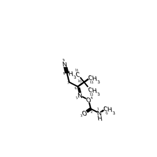 CNC(=O)ON=C(CC#N)C(C)(C)C